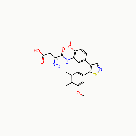 COc1ccc(-c2cnsc2-c2cc(C)c(C)c(OC)c2)cc1NC(=O)[C@@H](N)CC(=O)O